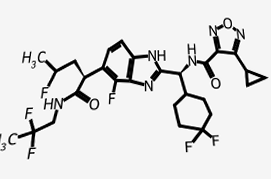 CC(F)C[C@H](C(=O)NCC(C)(F)F)c1ccc2[nH]c([C@@H](NC(=O)c3nonc3C3CC3)C3CCC(F)(F)CC3)nc2c1F